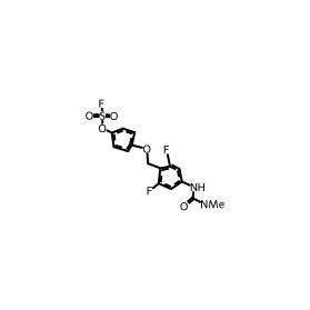 CNC(=O)Nc1cc(F)c(COc2ccc(OS(=O)(=O)F)cc2)c(F)c1